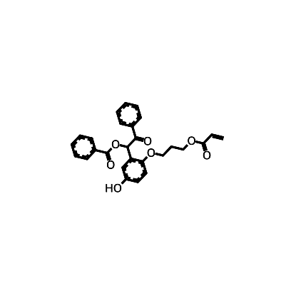 C=CC(=O)OCCCOc1ccc(O)cc1C(OC(=O)c1ccccc1)C(=O)c1ccccc1